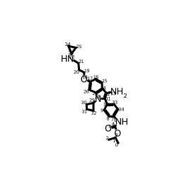 CC(C)OC(=O)Nc1ccc(-c2c(N)c3ccc(OCCCNC4CC4)cc3n2C2CCC2)cc1